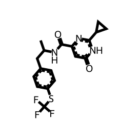 CC(Cc1ccc(SC(F)(F)F)cc1)NC(=O)c1cc(=O)[nH]c(C2CC2)n1